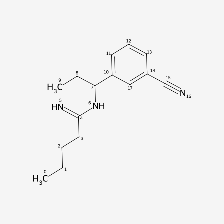 CCCCC(=N)NC(CC)c1cccc(C#N)c1